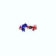 CCOC(Cc1ccc(OCCn2ccc3ccc(/C(=N/OC)c4ccncc4)nc32)cc1)C(=O)OC